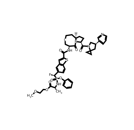 COCCOC(=O)[C@H](C)NP(=O)(Oc1ccccc1)[C@@H](F)c1ccc2sc(C(=O)N[C@H]3CCCC[C@H]4CC[C@@H](C(=O)N5C[C@@H](c6cccnc6)CC56CC6)N4C3=O)cc2c1